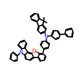 CC1(C)c2ccccc2-c2ccc(N(c3ccc(-c4ccccc4)cc3)c3ccc(-c4cccc5c4oc4c5ccc5c4c4ccccc4n5-c4ccccc4)cc3)cc21